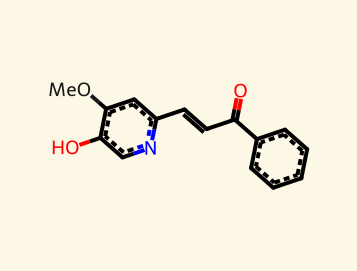 COc1cc(C=CC(=O)c2ccccc2)ncc1O